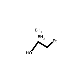 B.B.CCCCO